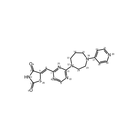 O=C1NC(=O)/C(=C/c2ncnc(N3CCCN(c4ccncc4)CC3)n2)S1